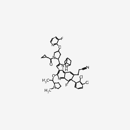 CC(Oc1nc2c(F)c(-c3cccc(Cl)c3Cl)c(CCC#N)cc2c2c1cc(C1CC(Oc3ncccc3F)CN1C(=O)C1CC1)n2C1C2CNC1C2)C1CCCN1C